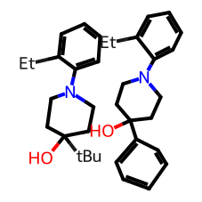 CCc1ccccc1N1CCC(O)(C(C)(C)C)CC1.CCc1ccccc1N1CCC(O)(c2ccccc2)CC1